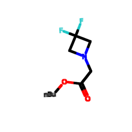 CCCCOC(=O)CN1CC(F)(F)C1